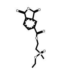 CCOP(C)(=O)CCOC(=O)c1ccc2c(c1)C(=O)OC2=O